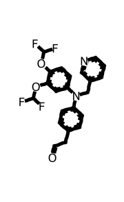 O=CCc1ccc(N(Cc2cccnc2)c2ccc(OC(F)F)c(OC(F)F)c2)cc1